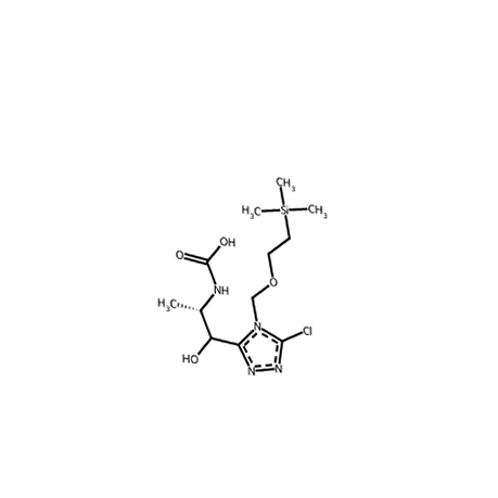 C[C@H](NC(=O)O)C(O)c1nnc(Cl)n1COCC[Si](C)(C)C